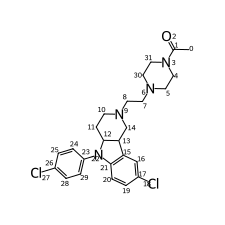 CC(=O)N1CCN(CCN2CCC3C(C2)c2cc(Cl)ccc2N3c2ccc(Cl)cc2)CC1